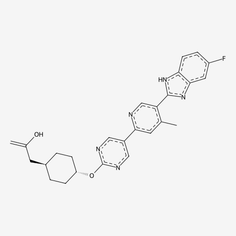 C=C(O)C[C@H]1CC[C@H](Oc2ncc(-c3cc(C)c(-c4nc5cc(F)ccc5[nH]4)cn3)cn2)CC1